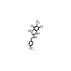 Cc1c(Cl)cc(NC(=S)NCc2ccc(C(F)(F)F)cc2)c(O)c1Cl